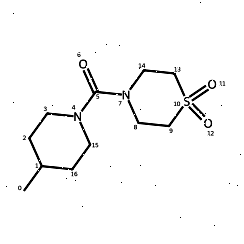 CC1CCN(C(=O)N2CCS(=O)(=O)CC2)CC1